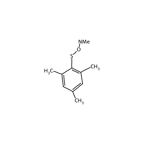 CNOSc1c(C)cc(C)cc1C